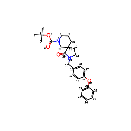 CC(C)(C)OC(=O)N1CCCC2(CCN(Cc3ccc(Oc4ccccc4)cc3)C2=O)C1